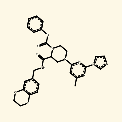 Cc1cc(N2CCN(C(=O)Oc3ccccc3)C(C(=O)NCc3ccc4c(c3)OCCO4)C2)nc(-n2ccnc2)n1